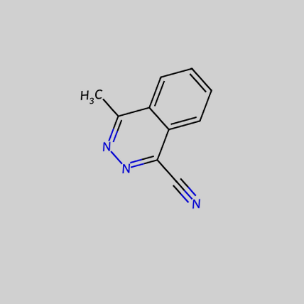 Cc1nnc(C#N)c2ccccc12